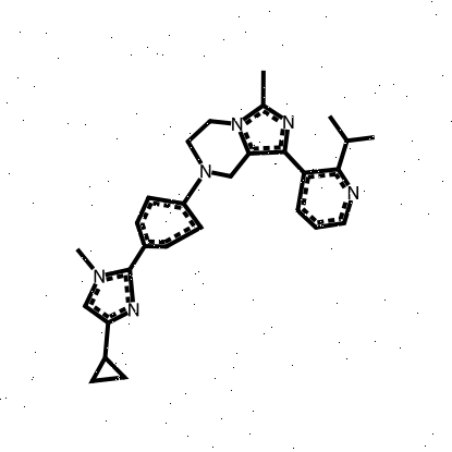 Cc1nc(-c2cccnc2C(C)C)c2n1CCN(c1ccc(-c3nc(C4CC4)cn3C)cc1)C2